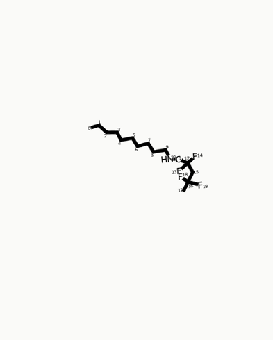 CCCCCCCCCCNCC(F)(F)CC(C)(F)F